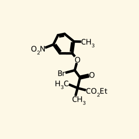 CCOC(=O)C(C)(C)C(=O)C(Br)Oc1cc([N+](=O)[O-])ccc1C